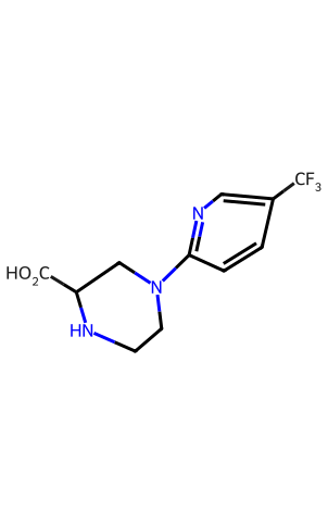 O=C(O)C1CN(c2ccc(C(F)(F)F)cn2)CCN1